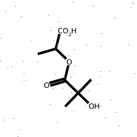 CC(OC(=O)C(C)(C)O)C(=O)O